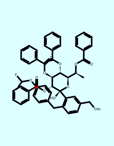 CC(=O)OCc1ccc(Cc2ccc(OC(F)F)cc2)c([C@@]2(O)O[C@H]([C@H](C)OC(=O)c3ccccc3)[C@@H](OC(=O)c3ccccc3)[C@H](OC(=O)c3ccccc3)[C@H]2OC(=O)c2ccccc2)c1